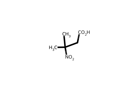 CC(C)(CC(=O)O)[N+](=O)[O-]